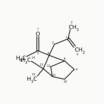 C=C(C)CC1(C(C)=O)C2CCC(C2)C1(C)C